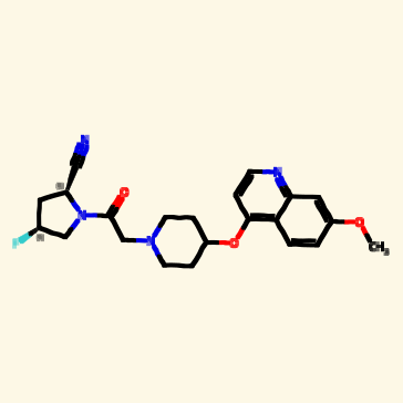 COc1ccc2c(OC3CCN(CC(=O)N4C[C@@H](F)C[C@H]4C#N)CC3)ccnc2c1